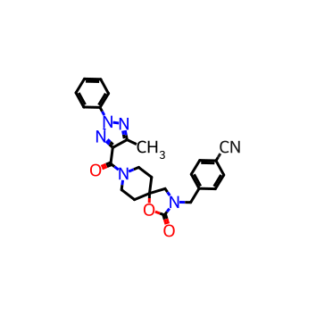 Cc1nn(-c2ccccc2)nc1C(=O)N1CCC2(CC1)CN(Cc1ccc(C#N)cc1)C(=O)O2